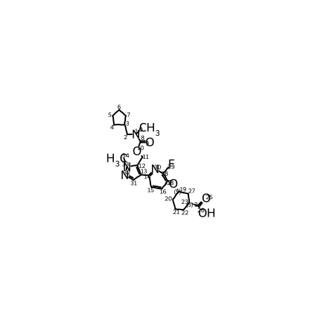 CN(CC1CCCC1)C(=O)OCc1c(-c2ccc(O[C@H]3CCC[C@H](C(=O)O)C3)c(F)n2)cnn1C